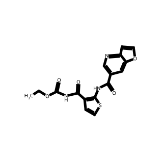 CCOC(=O)NC(=O)c1ccsc1NC(=O)c1cnc2ccoc2c1